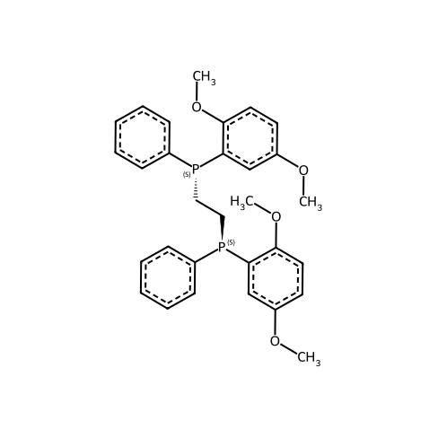 COc1ccc(OC)c([P@](CC[P@](c2ccccc2)c2cc(OC)ccc2OC)c2ccccc2)c1